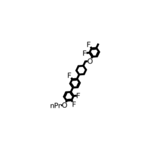 CCCOc1ccc(-c2ccc(C3CCC(COc4ccc(C)c(F)c4F)CC3)c(F)c2)c(F)c1F